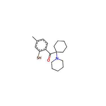 Cc1ccc(C(=O)C2(N3CCCCC3)CCCCC2)c(S)c1